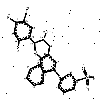 CS(=O)(=O)c1cccc(-c2cc3c(c4ccccc24)OC(c2cc(F)c(F)cc2F)[C@@H](N)C3)c1